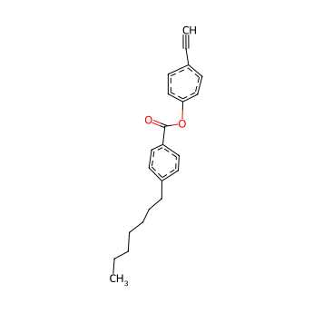 C#Cc1ccc(OC(=O)c2ccc(CCCCCCC)cc2)cc1